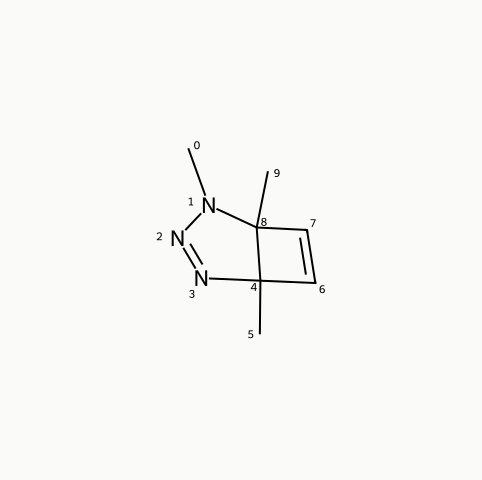 CN1N=NC2(C)C=CC12C